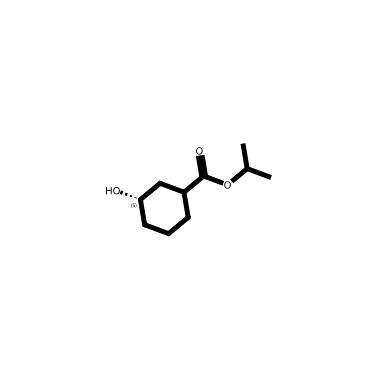 CC(C)OC(=O)C1CCC[C@H](O)C1